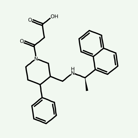 C[C@@H](NCC1CN(C(=O)CC(=O)O)CCC1c1ccccc1)c1cccc2ccccc12